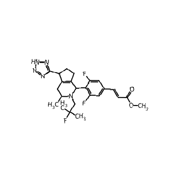 COC(=O)/C=C/c1cc(F)c(C2C3=C(CC(C)N2CC(C)(C)F)C(c2nn[nH]n2)CC3)c(F)c1